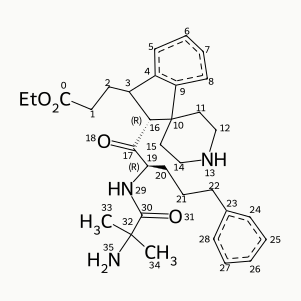 CCOC(=O)CCC1c2ccccc2C2(CCNCC2)[C@@H]1C(=O)[C@@H](CCCc1ccccc1)NC(=O)C(C)(C)N